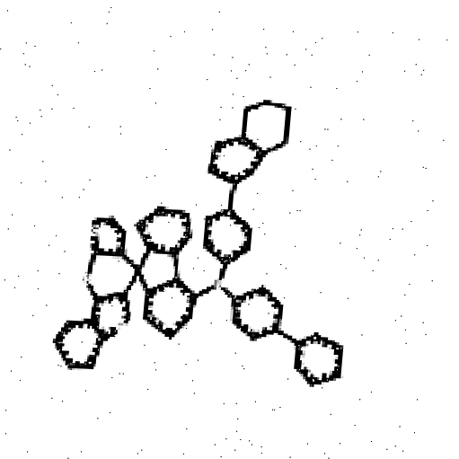 c1ccc(-c2ccc(N(c3ccc(-c4ccc5c(c4)CCCC5)cc3)c3cccc4c3-c3ccccc3C43c4ccccc4Oc4c3ccc3ccccc43)cc2)cc1